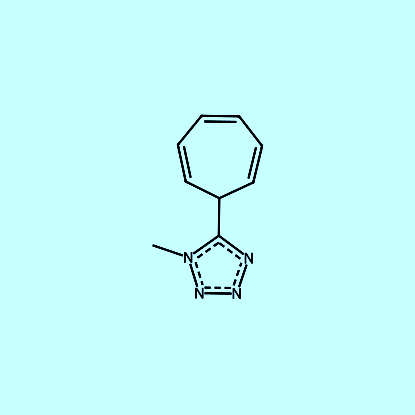 Cn1nnnc1C1C=CC=CC=C1